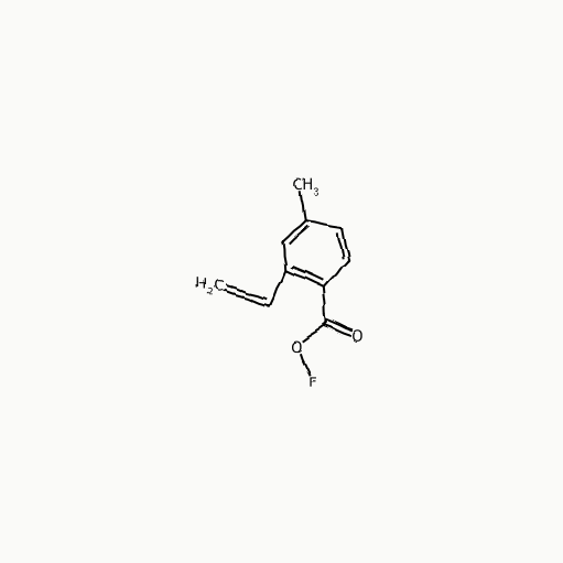 C=Cc1cc(C)ccc1C(=O)OF